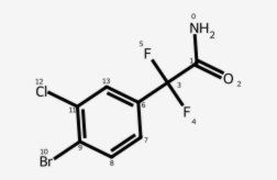 NC(=O)C(F)(F)c1ccc(Br)c(Cl)c1